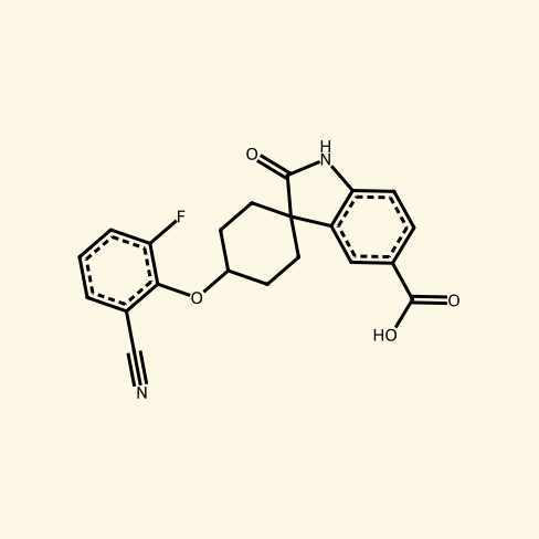 N#Cc1cccc(F)c1OC1CCC2(CC1)C(=O)Nc1ccc(C(=O)O)cc12